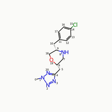 Cn1nnc(C[C@H]2CN[C@@H](Cc3ccc(Cl)cc3)CO2)n1